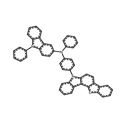 c1ccc(N(c2ccc(-n3c4ccccc4c4c5oc6ccccc6c5ccc43)cc2)c2ccc3c(c2)c2ccccc2n3-c2ccccc2)cc1